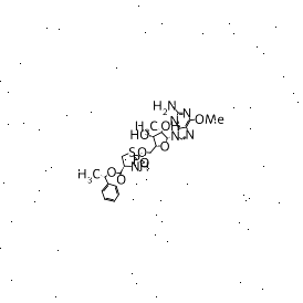 COc1nc(N)nc2c1ncn2[C@@H]1OC(CO[P@]2(=O)N[C@@H](C(=O)O[C@@H](C)c3ccccc3)CS2)[C@@H](O)[C@@]1(C)O